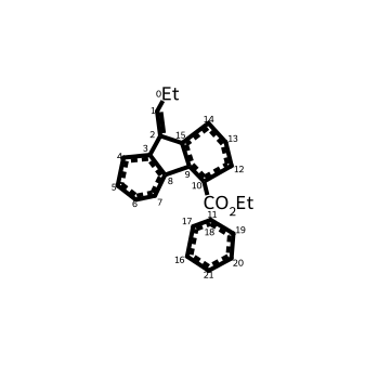 CCC=C1c2ccccc2-c2c(C(=O)OCC)cccc21.c1ccccc1